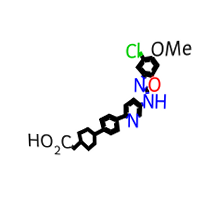 COc1cc2oc(Nc3ccc(-c4ccc(C5CCC(CC(=O)O)CC5)cc4)nc3)nc2cc1Cl